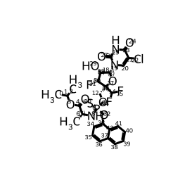 CC(C)OC(=O)[C@H](C)NP(=S)(OC[C@@]1(C(F)F)O[C@@H](n2cc(Cl)c(=O)[nH]c2=O)[C@H](O)[C@H]1F)Oc1cccc2ccccc12